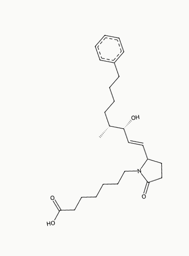 C[C@H](CCCCc1ccccc1)[C@H](O)C=CC1CCC(=O)N1CCCCCCC(=O)O